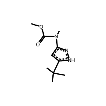 COC(=O)N(C)c1cc(C(C)(C)C)[nH]n1